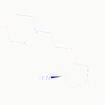 N[C@@H]1COC[C@H]1OCCN1CCOCC1